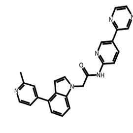 Cc1cc(-c2cccc3c2ccn3CC(=O)Nc2ccc(-c3cnccn3)cn2)ccn1